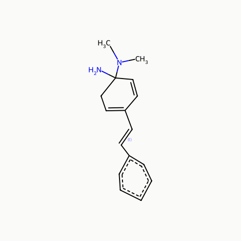 CN(C)C1(N)C=CC(/C=C/c2ccccc2)=CC1